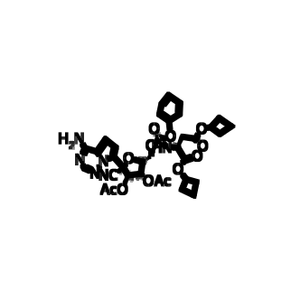 CC(=O)O[C@H]1[C@@H](OC(C)=O)[C@](C#N)(c2ccc3c(N)ncnn23)O[C@@H]1COP(=O)(N[C@@H](CC(=O)OC1CCC1)C(=O)OC1CCC1)Oc1ccccc1